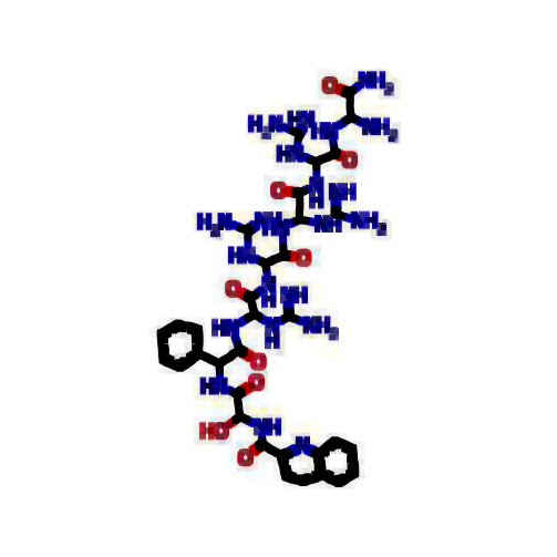 N=C(N)NC(NC(=O)C(NC(=N)N)NC(=O)C(NC(=N)N)NC(=O)C(NC(=N)N)NC(=O)C(NC(=O)C(O)NC(=O)c1ccc2ccccc2n1)c1ccccc1)C(=O)NC(N)C(N)=O